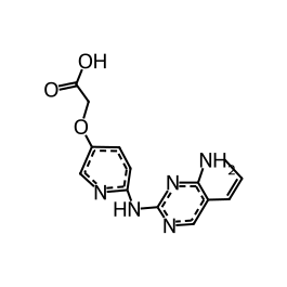 C/C=C\c1cnc(Nc2ccc(OCC(=O)O)cn2)nc1N